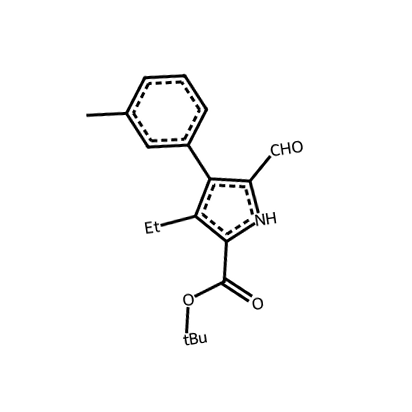 CCc1c(C(=O)OC(C)(C)C)[nH]c(C=O)c1-c1cccc(C)c1